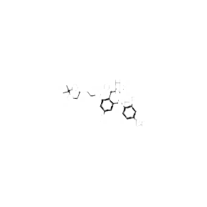 CC1(C)OC[C@@H](CCOc2cc(F)cc(Nc3ccc(Br)cc3F)c2C(N)=O)O1